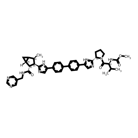 COC(=O)N[C@H](C(=O)N1CCC[C@H]1c1ncc(-c2ccc(-c3ccc(-c4cnc([C@H]5[C@H](C(=O)NCc6cncnc6)[C@@H]6CC6[C@H]5C)[nH]4)cc3)cc2)[nH]1)C(C)C